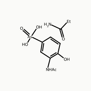 CC(=O)Nc1cc([As](=O)(O)O)ccc1O.CCC(N)=O